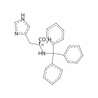 O=C(O)[C@H](Cc1c[nH]cn1)NC(c1ccccc1)(c1ccccc1)c1ccccc1